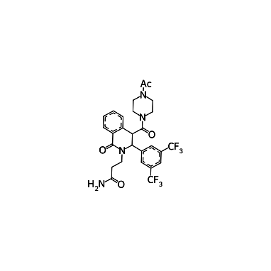 CC(=O)N1CCN(C(=O)C2c3ccccc3C(=O)N(CCC(N)=O)C2c2cc(C(F)(F)F)cc(C(F)(F)F)c2)CC1